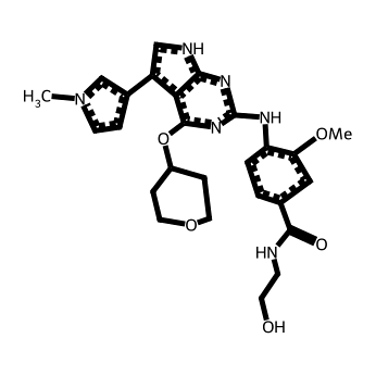 COc1cc(C(=O)NCCO)ccc1Nc1nc(OC2CCOCC2)c2c(-c3ccn(C)c3)c[nH]c2n1